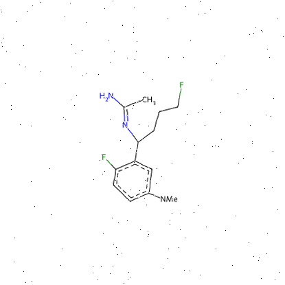 CNc1ccc(F)c(C(CCCF)/N=C(\C)N)c1